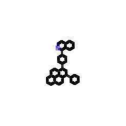 c1ccc(-c2cc(-c3ccc(-c4nccc5ccccc45)cc3)c3ccc4cccc5ccc2c3c54)cc1